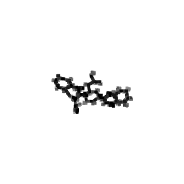 Cc1ccccc1N/C(=N/C#N)N1CCN(c2cnc3ccccc3n2)CC1CC(C)C